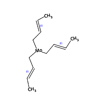 C/C=C/[CH2][Mo]([CH2]/C=C/C)[CH2]/C=C/C